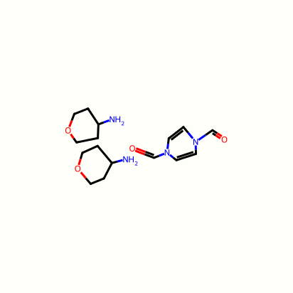 NC1CCOCC1.NC1CCOCC1.O=CN1C=CN(C=O)C=C1